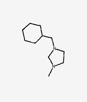 CN1CCN(CC2CCCCC2)C1